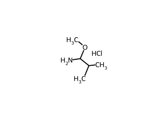 COC(N)C(C)C.Cl